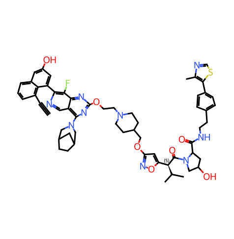 C#Cc1cccc2cc(O)cc(-c3ncc4c(N5CC6CCC(C6)C5)nc(OCCN5CCC(COc6cc([C@@H](C(=O)N7CC(O)CC7C(=O)NCCc7ccc(-c8scnc8C)cc7)C(C)C)on6)CC5)nc4c3F)c12